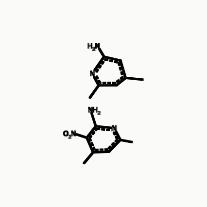 Cc1cc(C)c([N+](=O)[O-])c(N)n1.Cc1cc(C)nc(N)c1